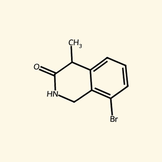 CC1C(=O)NCc2c(Br)cccc21